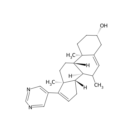 CC1C=C2C[C@@H](O)CC[C@]2(C)[C@H]2CC[C@]3(C)C(c4cncnc4)=CC[C@H]3[C@H]12